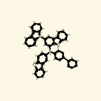 c1ccc(-c2ccc(N(c3ccc4oc5ccccc5c4c3)c3cc(-n4c5ccccc5c5ccccc54)cc4c3oc3ccccc34)cc2)cc1